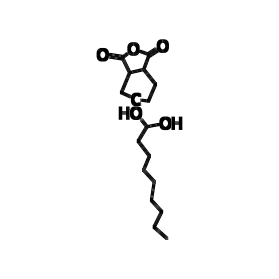 CCCCCCCCC(O)O.O=C1OC(=O)C2CCCCC12